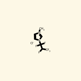 C[n+]1ccn(C(F)(F)C(F)C(F)(F)F)c1.[Cl-]